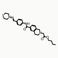 CCCCOC(=O)CN1CCc2cc(C(=O)Nc3ccc(/C=N/N4CCSCC4)cc3)ccc2C1